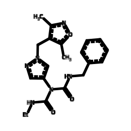 CCNC(=O)N(C(=O)NCc1ccccc1)c1cnn(Cc2c(C)noc2C)c1